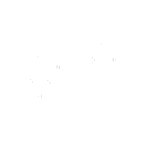 O=C(O)NCC1CCN(c2nc(Cl)nc3ccoc23)CC1